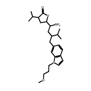 COCCCn1ccc2ccc(CC(CC(N)C3CC(C(C)C)C(=O)O3)C(C)C)cc21